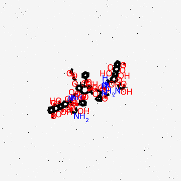 COc1cccc2c1C(=O)c1c(O)c3c(c(O)c1C2=O)C[C@@](O)(/C(=N/NC(=O)O[C@H]1C[C@@H](OCCOC2OC2C)C[C@H]2[C@H](OC(=O)c4ccccc4)[C@]4(O)C[C@H](OC(=O)[C@@H](OC(=O)N/N=C(\C)[C@]5(O)Cc6c(O)c7c(c(O)c6[C@@H](O[C@@H]6C[C@@H](N)[C@@H](O)[C@@H](C)O6)C5)C(=O)c5c(OC)cccc5C7=O)[C@H](NC(C)=O)c5ccccc5)C(C)=C([C@@H](OC(C)=O)C[C@]12C)C4(C)C)C(=O)OCc1ccccc1)C[C@@H]3O[C@@H]1C[C@@H](N)[C@@H](O)[C@@H](C)O1